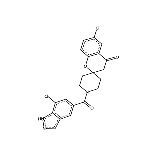 O=C1CC2(CCN(C(=O)c3cc(Cl)c4[nH]ncc4c3)CC2)Oc2ccc(Cl)cc21